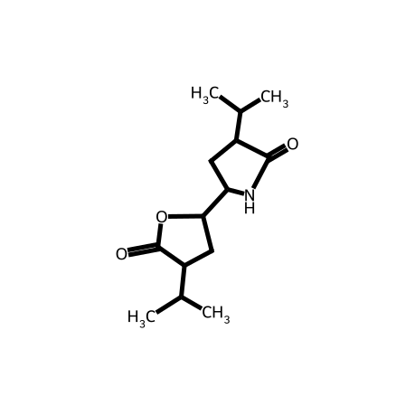 CC(C)C1CC(C2CC(C(C)C)C(=O)O2)NC1=O